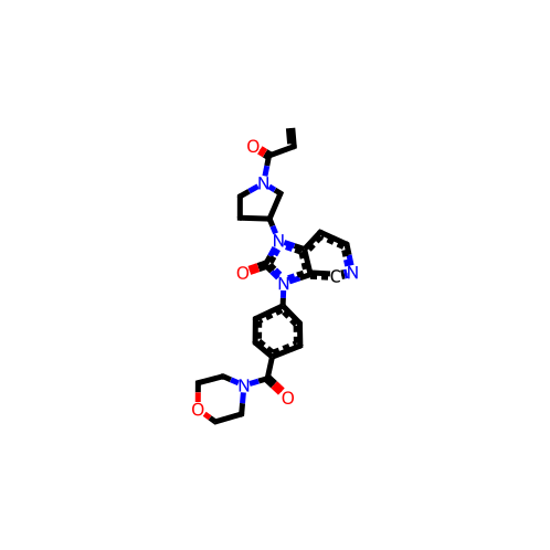 C=CC(=O)N1CCC(n2c(=O)n(-c3ccc(C(=O)N4CCOCC4)cc3)c3cnccc32)C1